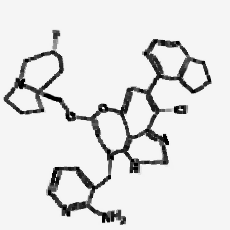 Nc1ncccc1CN1C=C(OC[C@@]23CCCN2C[C@H](F)C3)Oc2cc(-c3cccc4c3CCC4)c(Cl)c3c2=C1NCN=3